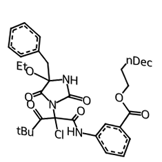 CCCCCCCCCCCCOC(=O)c1cccc(NC(=O)C(Cl)(C(=O)C(C)(C)C)N2C(=O)NC(Cc3ccccc3)(OCC)C2=O)c1